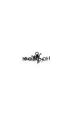 C=CCn1c(=O)c2cnc(Nc3ccc(N4CCN(C)CC4)cc3)nc2n1-c1cc(F)c2c(c1)[C@](C)(O)CC2